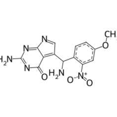 COc1ccc(C(N)C2=C3C(=O)N=C(N)N=C3N=C2)c([N+](=O)[O-])c1